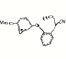 COc1ccc(Oc2ccccc2C(O)C#N)cc1